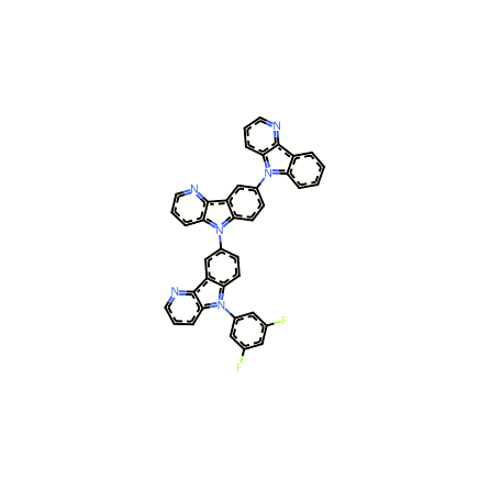 Fc1cc(F)cc(-n2c3ccc(-n4c5ccc(-n6c7ccccc7c7ncccc76)cc5c5ncccc54)cc3c3ncccc32)c1